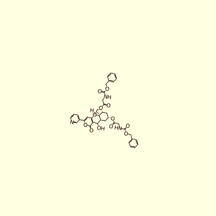 C[C@@]12Oc3cc(-c4cccnc4)oc(=O)c3C(O)C1C[C@@H](OC(=O)CNC(=O)OCc1ccccc1)C[C@H]2OC(=O)CNC(=O)OCc1ccccc1